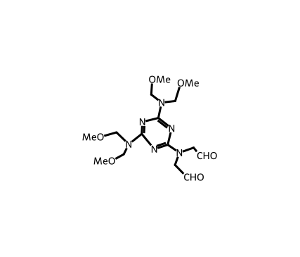 COCN(COC)c1nc(N(CC=O)CC=O)nc(N(COC)COC)n1